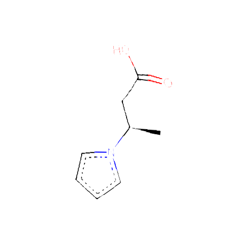 C[C@H](CC(=O)O)n1cccc1